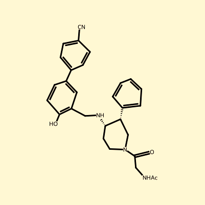 CC(=O)NCC(=O)N1CC[C@H](NCc2cc(-c3ccc(C#N)cc3)ccc2O)[C@H](c2ccccc2)C1